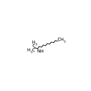 CCCCCCCCCCCC([NH])C(C)C